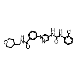 O=C(Nc1cnn(-c2cccc(C(=O)NCC3CCOCC3)c2)c1)Nc1ccccc1Cl